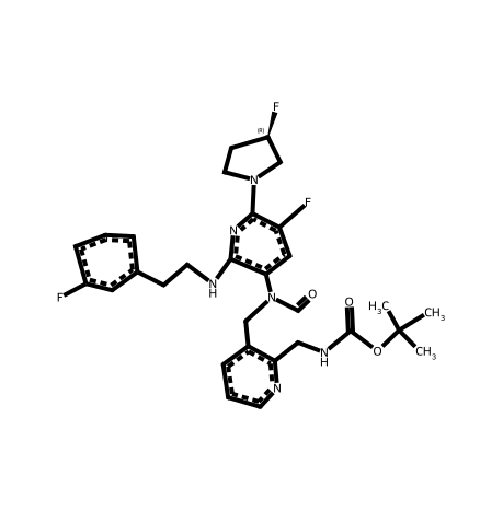 CC(C)(C)OC(=O)NCc1ncccc1CN(C=O)c1cc(F)c(N2CC[C@@H](F)C2)nc1NCCc1cccc(F)c1